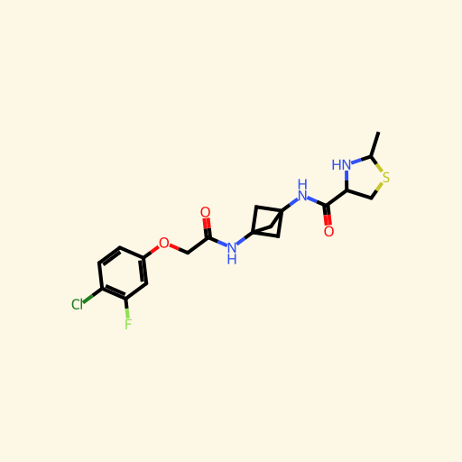 CC1NC(C(=O)NC23CC(NC(=O)COc4ccc(Cl)c(F)c4)(C2)C3)CS1